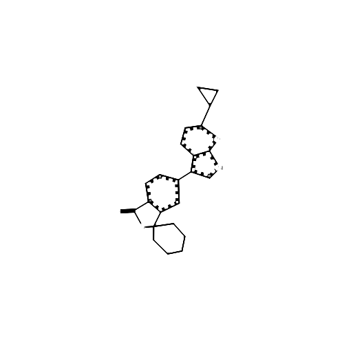 O=C1NC2(CCCCC2)c2cc(-c3c[nH]c4nc(C5CC5)ccc34)ccc21